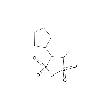 CC1C(C2C=CCC2)S(=O)(=O)OS1(=O)=O